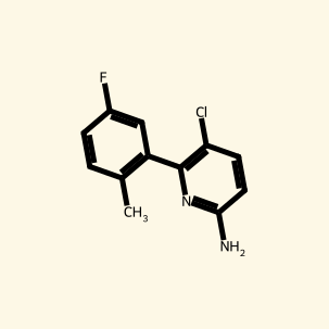 Cc1ccc(F)cc1-c1nc(N)ccc1Cl